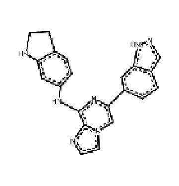 c1cn2cc(-c3ccc4cn[nH]c4c3)nc(Nc3ccc4c(c3)NCC4)c2n1